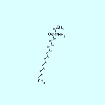 CCCCCCCCCCCCCCCC(=O)C(N)CC